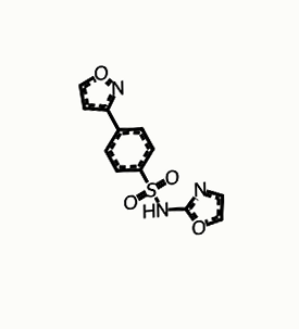 O=S(=O)(Nc1ncco1)c1ccc(-c2ccon2)cc1